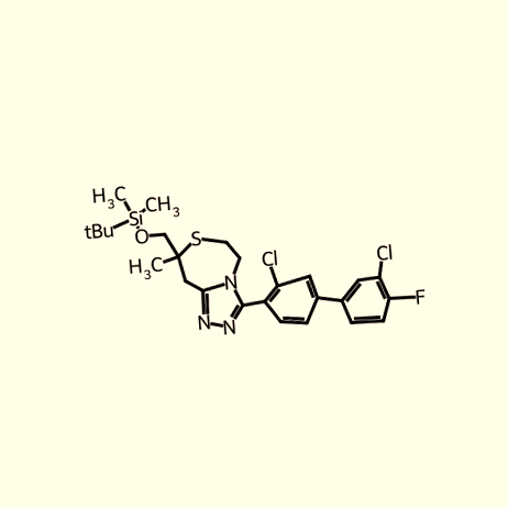 CC1(CO[Si](C)(C)C(C)(C)C)Cc2nnc(-c3ccc(-c4ccc(F)c(Cl)c4)cc3Cl)n2CCS1